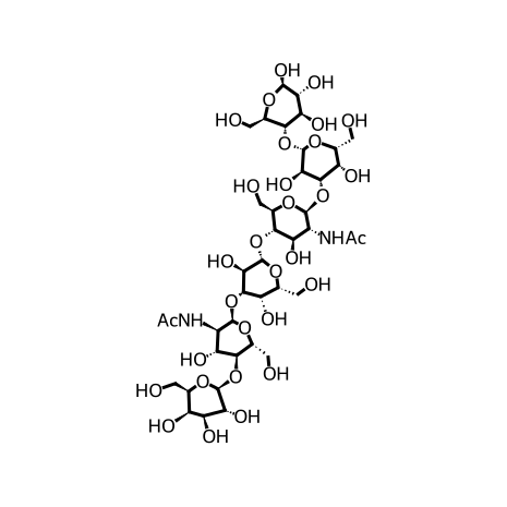 CC(=O)N[C@H]1[C@@H](O[C@H]2[C@@H](O)[C@@H](CO)O[C@@H](O[C@H]3[C@H](O)[C@@H](NC(C)=O)[C@H](O[C@H]4[C@@H](O)[C@@H](CO)O[C@@H](O[C@H]5[C@H](O)[C@@H](O)[C@H](O)O[C@@H]5CO)[C@@H]4O)O[C@@H]3CO)[C@@H]2O)O[C@H](CO)[C@@H](O[C@@H]2O[C@H](CO)[C@H](O)[C@H](O)[C@H]2O)[C@@H]1O